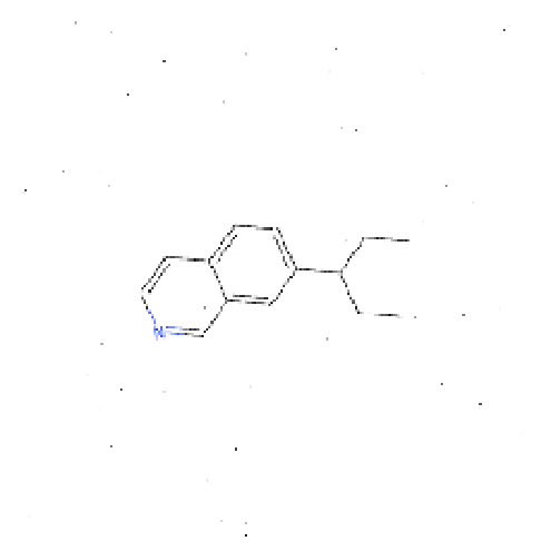 CCC(CC)c1ccc2ccncc2c1